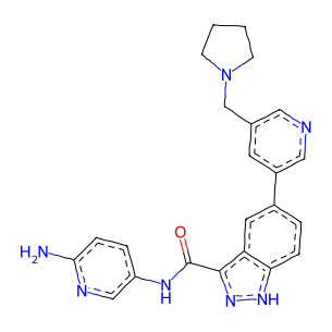 Nc1ccc(NC(=O)c2n[nH]c3ccc(-c4cncc(CN5CCCC5)c4)cc23)cn1